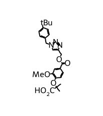 COc1cc(C(=O)OCc2cn(Cc3ccc(C(C)(C)C)cc3)nn2)ccc1OC(C)(C)C(=O)O